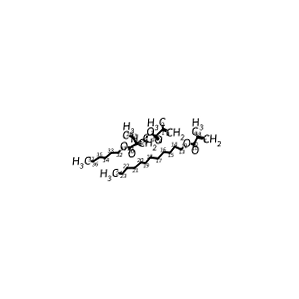 C=C(C)C(=O)OC.C=C(C)C(=O)OCCCCCCCCCCCC.C=C(CC)C(=O)OCCCCCC